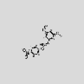 COc1cc(CNSc2ccc([N+](=O)[O-])cc2)cc(OC)c1